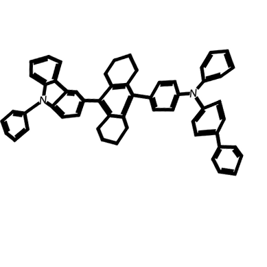 c1ccc(-c2ccc(N(c3ccccc3)c3ccc(-c4c5c(c(-c6ccc7c(c6)c6ccccc6n7-c6ccccc6)c6c4CCCC6)CCCC5)cc3)cc2)cc1